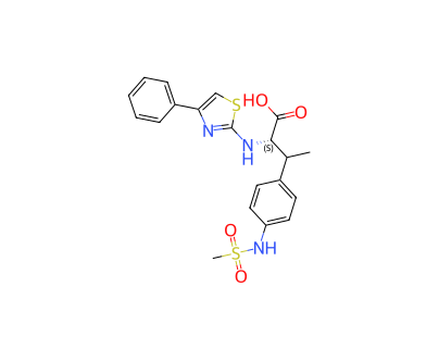 CC(c1ccc(NS(C)(=O)=O)cc1)[C@H](Nc1nc(-c2ccccc2)cs1)C(=O)O